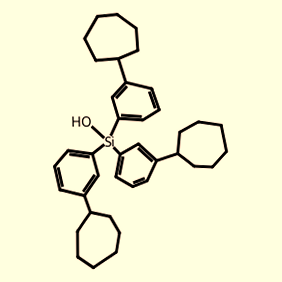 O[Si](c1cccc(C2CCCCCC2)c1)(c1cccc(C2CCCCCC2)c1)c1cccc(C2CCCCCC2)c1